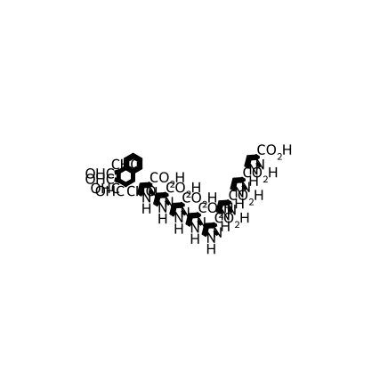 O=C(O)c1cc[nH]n1.O=C(O)c1cc[nH]n1.O=C(O)c1cc[nH]n1.O=C(O)c1cc[nH]n1.O=C(O)c1cc[nH]n1.O=C(O)c1cc[nH]n1.O=C(O)c1cc[nH]n1.O=C(O)c1cc[nH]n1.O=CC1(C=O)Cc2ccccc2C(C=O)(C=O)C1(C=O)C=O